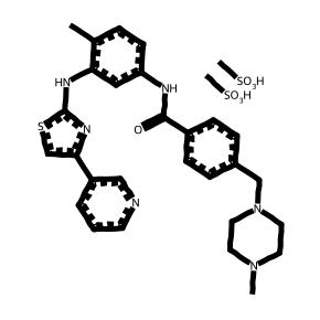 CS(=O)(=O)O.CS(=O)(=O)O.Cc1ccc(NC(=O)c2ccc(CN3CCN(C)CC3)cc2)cc1Nc1nc(-c2cccnc2)cs1